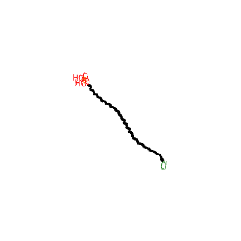 O=P(O)(O)OCCCCCCCCCCCCCCCCCCCCCCCCCCCCCCCCCCCCCCCl